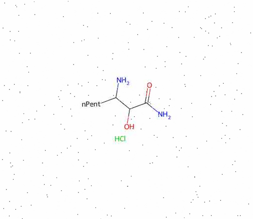 CCCCCC(N)C(O)C(N)=O.Cl